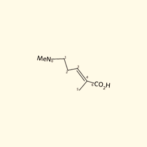 CNCCC=C(C)C(=O)O